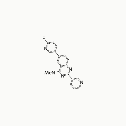 CNc1nc(-c2cccnc2)nc2ccc(-c3ccc(F)nc3)cc12